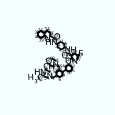 C[C@@H]1CN(Cc2ccc(-c3cccc(Oc4ncc(F)cc4C(=O)N[C@H]4CC[C@H](NC(=O)c5ccc6ccccc6n5)CC4)c3)c(CN3CCOCC3)c2)C[C@H](C)N1